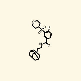 O=C(NCCC12CC3CC(CC(C3)C1)C2)c1ccc(F)c(S(=O)(=O)N2CCOCC2)c1